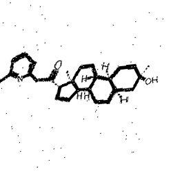 Cc1cccc(CC(=O)[C@H]2CC[C@H]3[C@@H]4CC[C@@H]5C[C@](C)(O)CC[C@@H]5[C@H]4CC[C@]23C)n1